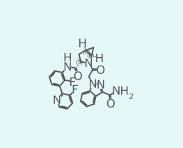 NC(=O)c1nn(CC(=O)N2[C@@H]3C[C@@H]3C[C@H]2C(=O)Nc2cccc(-c3ncccc3F)c2F)c2ccccc12